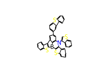 c1ccc2c(N3c4cc(-c5ccc6sc7ccccc7c6c5)cc5c4B(c4sc6ccccc6c4-5)c4sc5ccccc5c43)csc2c1